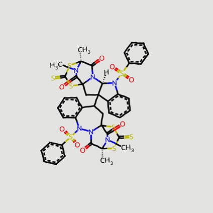 CN1C(=O)C23CC4(C5CC67SC(=S)S[C@@](C)(C(=O)N6N(S(=O)(=O)c6ccccc6)c6ccccc65)N(C)C7=O)c5ccccc5N(S(=O)(=O)c5ccccc5)[C@@H]4N2C(=O)[C@]1(C)SC(=S)S3